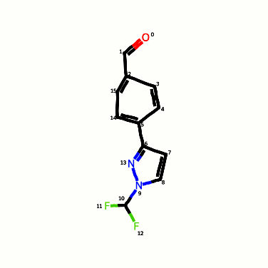 O=Cc1ccc(-c2ccn(C(F)F)n2)cc1